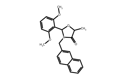 COc1cccc(OC)c1C1OC(C)C(=O)N1Cc1ccc2ccccc2c1